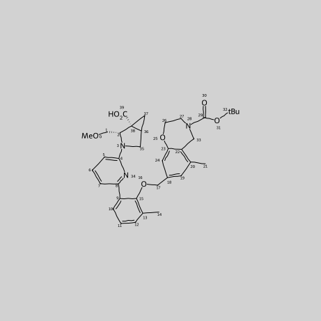 COC[C@H]1N(c2cccc(-c3cccc(C)c3OCc3cc(C)c4c(c3)OCCN(C(=O)OC(C)(C)C)C4)n2)CC2C[C@@]21C(=O)O